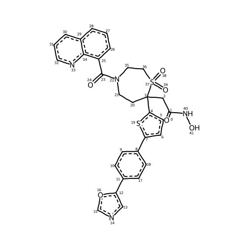 O=C(CC1(c2ccc(-c3ccc(-c4cnco4)cc3)s2)CCN(C(=O)c2cccc3cccnc23)CCS1(=O)=O)NO